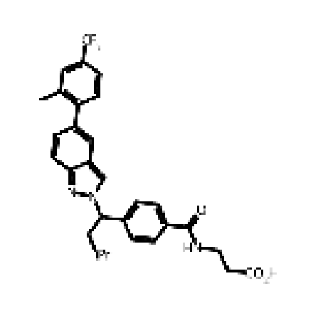 Cc1cc(C(F)(F)F)ccc1-c1ccc2nn(C(CC(C)C)c3ccc(C(=O)NCCC(=O)O)cc3)cc2c1